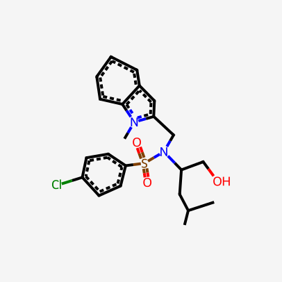 CC(C)CC(CO)N(Cc1cc2ccccc2n1C)S(=O)(=O)c1ccc(Cl)cc1